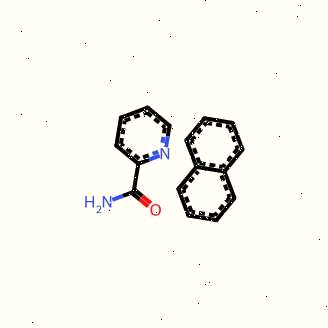 NC(=O)c1ccccn1.c1ccc2ccccc2c1